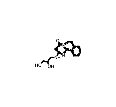 O=c1cc(NCC(O)CO)nc2c3ccccc3ccn12